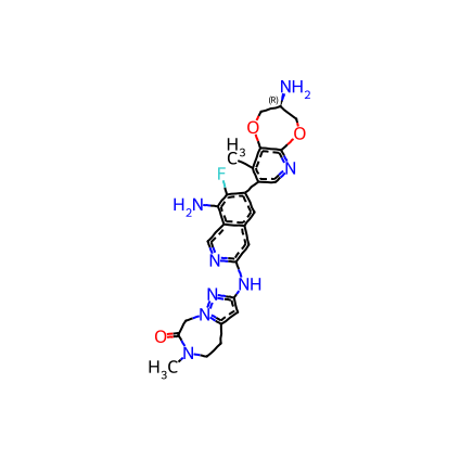 Cc1c(-c2cc3cc(Nc4cc5n(n4)CC(=O)N(C)CC5)ncc3c(N)c2F)cnc2c1OC[C@@H](N)CO2